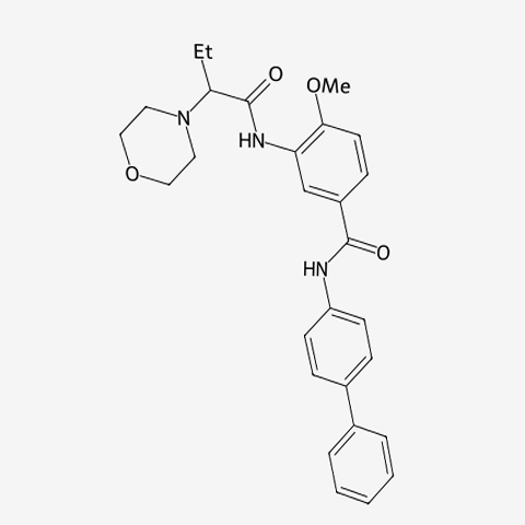 CCC(C(=O)Nc1cc(C(=O)Nc2ccc(-c3ccccc3)cc2)ccc1OC)N1CCOCC1